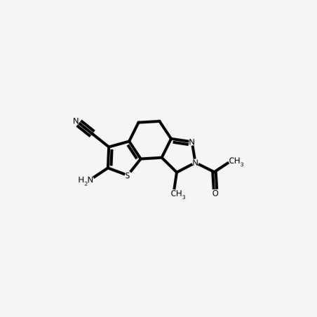 CC(=O)N1N=C2CCc3c(sc(N)c3C#N)C2C1C